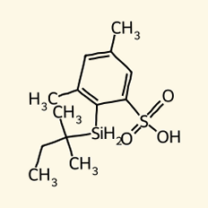 CCC(C)(C)[SiH2]c1c(C)cc(C)cc1S(=O)(=O)O